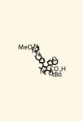 COc1nccc(N2CCc3cc(-c4c(C)nc(C)c(C(OC(C)(C)C)C(=O)O)c4-c4ccc5c(c4)CCCO5)ccc3C2)n1